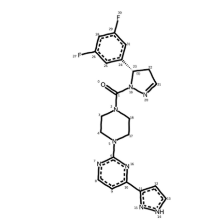 O=C(N1CCN(c2nccc(-c3cc[nH]n3)n2)CC1)N1N=CC[C@H]1c1cc(F)cc(F)c1